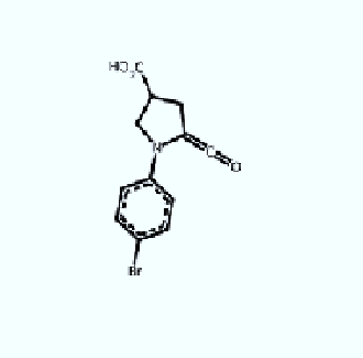 O=C=C1CC(C(=O)O)CN1c1ccc(Br)cc1